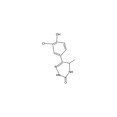 CC1NC(=O)NN=C1c1ccc(O)c(Cl)c1